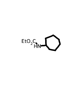 CCOC(=O)NC1CCCCCC1